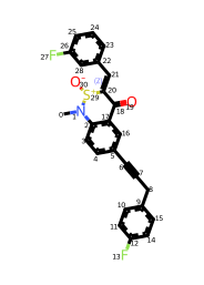 CN1c2ccc(C#CCc3ccc(F)cc3)cc2C(=O)/C(=C/c2cccc(F)c2)[S+]1[O-]